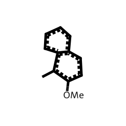 COc1ccc2ccccc2c1C